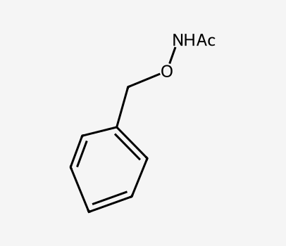 CC(=O)NOCc1ccccc1